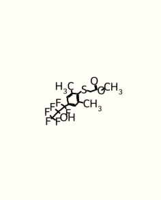 COC(=O)CSc1c(C)cc(C(F)(F)C(O)(F)C(F)(F)F)cc1C